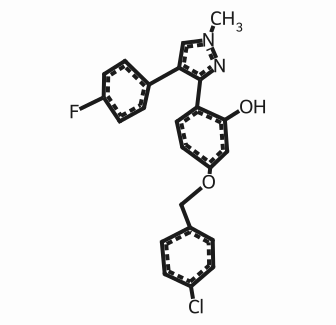 Cn1cc(-c2ccc(F)cc2)c(-c2ccc(OCc3ccc(Cl)cc3)cc2O)n1